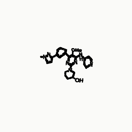 COc1c(Nc2ccncc2)nc(N2CCC[C@H](O)C2)nc1-c1cccc(-c2ccn(C)n2)c1